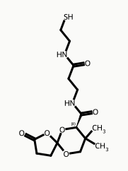 CC1(C)COC2(CCC(=O)O2)O[C@H]1C(=O)NCCC(=O)NCCS